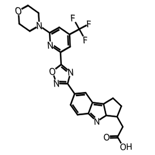 O=C(O)CC1CCC2=c3cc(-c4noc(-c5cc(C(F)(F)F)cc(N6CCOCC6)n5)n4)ccc3=NC21